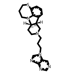 c1cc2c3c(c1)[C@@H]1CN(CCCn4cnc5ncncc54)CC[C@@H]1N3CCCS2